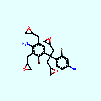 Nc1ccc(C(CC2CO2)(CC2CO2)c2cc(CC3CO3)c(N)c(CC3CO3)c2Br)c(Br)c1